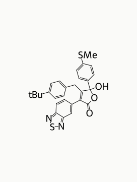 CSc1ccc(C2(O)OC(=O)C(c3ccc4nsnc4c3)=C2Cc2ccc(C(C)(C)C)cc2)cc1